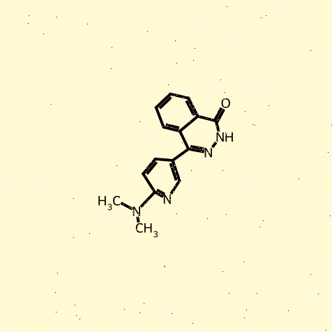 CN(C)c1ccc(-c2n[nH]c(=O)c3ccccc23)cn1